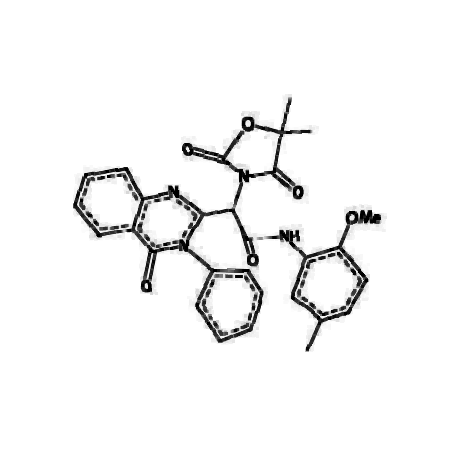 COc1ccc(C)cc1NC(=O)C(c1nc2ccccc2c(=O)n1-c1ccccc1)N1C(=O)OC(C)(C)C1=O